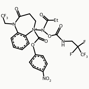 CCC(=O)N(OC(=O)NCC(F)(F)C(F)(F)F)[N+]1(C(=O)Oc2ccc([N+](=O)[O-])cc2)CCC(=O)N(CC(F)(F)F)c2ccccc21